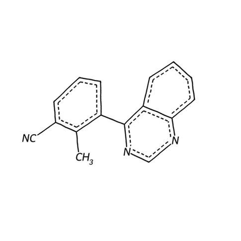 Cc1c(C#N)cccc1-c1ncnc2ccccc12